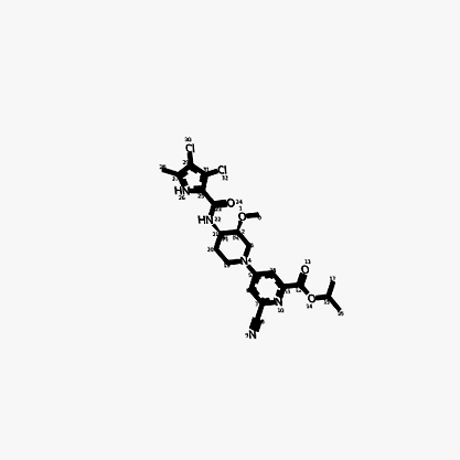 CO[C@H]1CN(c2cc(C#N)nc(C(=O)OC(C)C)c2)CC[C@H]1NC(=O)c1[nH]c(C)c(Cl)c1Cl